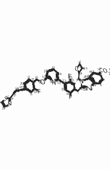 O=C(O)c1ccc2nc(Cc3cc(F)c(-c4cccc(OCc5ccc(C#Cc6nccs6)cc5F)n4)cc3F)n(CC3CCO3)c2c1